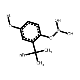 CCCC(C)(C)c1cc(OCC)ccc1OP(O)O